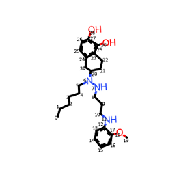 CCCCCCN(NCCCNc1ccccc1OC)C1CCc2c(ccc(O)c2O)C1